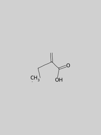 C=C(CC)C(=O)O.[CH3]